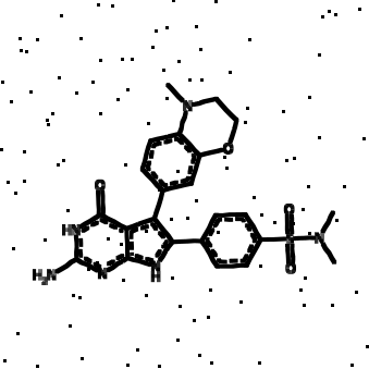 CN1CCOc2cc(-c3c(-c4ccc(S(=O)(=O)N(C)C)cc4)[nH]c4nc(N)[nH]c(=O)c34)ccc21